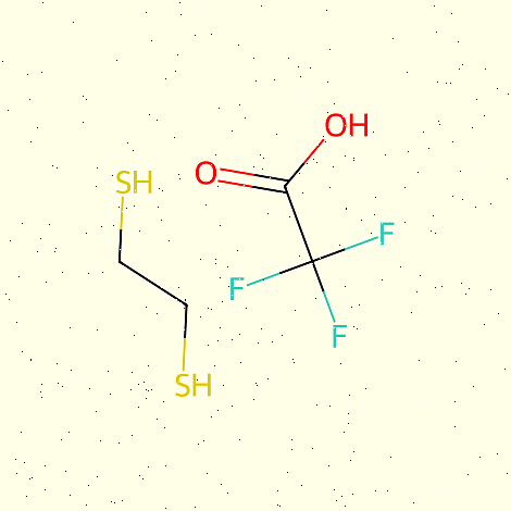 O=C(O)C(F)(F)F.SCCS